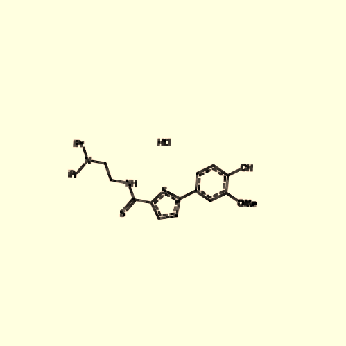 COc1cc(-c2ccc(C(=S)NCCN(C(C)C)C(C)C)s2)ccc1O.Cl